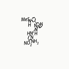 CSNc1cccc(-c2cc3nccn3c(NCCNc3ccc([N+](=O)[O-])c(N)n3)n2)c1